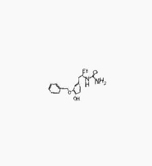 CCC(Cc1ccc(O)c(OCc2ccccc2)c1)NC(N)=O